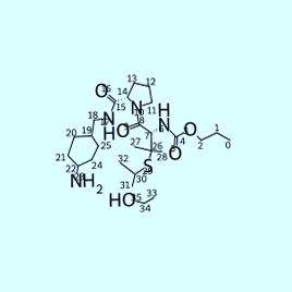 CCCOC(=O)N[C@@H](C(=O)N1CCC[C@H]1C(=O)NCC1CCC(N)CC1)C(C)(C)SC(C)C.CCO